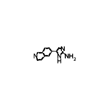 Nc1ncc(-c2ccc3cnccc3c2)[nH]1